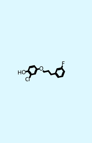 Oc1ccc(OCCCc2cccc(F)c2)cc1Cl